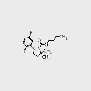 CCCCOC(=O)N1C(c2cc(F)ccc2F)CCC1(C)C